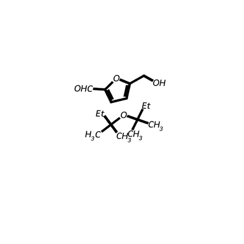 CCC(C)(C)OC(C)(C)CC.O=Cc1ccc(CO)o1